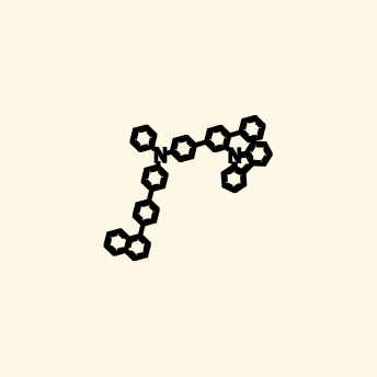 c1ccc(-c2ccc(-c3ccc(N(c4ccccc4)c4ccc(-c5ccc(-c6cccc7ccccc67)cc5)cc4)cc3)cc2-n2c3ccccc3c3ccccc32)cc1